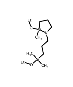 CCO[Si](C)(C)CCCN1CCC[Si]1(C)OCC